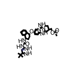 CN/C(=C\C(=N)C(C)(C)C)NC(=O)NC1CCC(Oc2ccc(=N)n(C(=N)N3CCC(COS(C)=O)CC3)c2)c2ccccc21